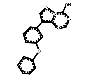 Oc1ncnc2c(-c3cccc(Oc4ccccc4)c3)cnn12